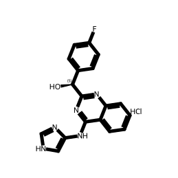 Cl.O[C@@H](c1ccc(F)cc1)c1nc(Nc2c[nH]cn2)c2ccccc2n1